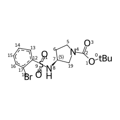 CC(C)(C)OC(=O)N1CC[C@H](NS(=O)(=O)c2ccccc2Br)C1